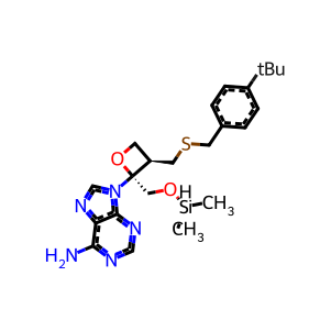 C[SiH](C)OC[C@]1(n2cnc3c(N)ncnc32)OC[C@H]1CSCc1ccc(C(C)(C)C)cc1